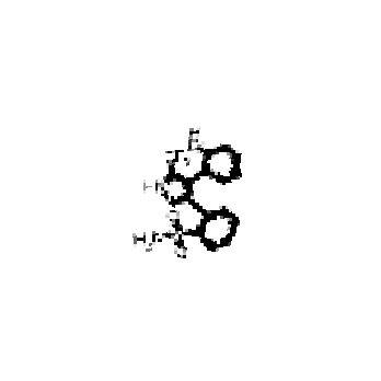 Cc1ccccc1-c1c(-c2ccccc2S(N)(=O)=O)n[nH]c1C(F)(F)F